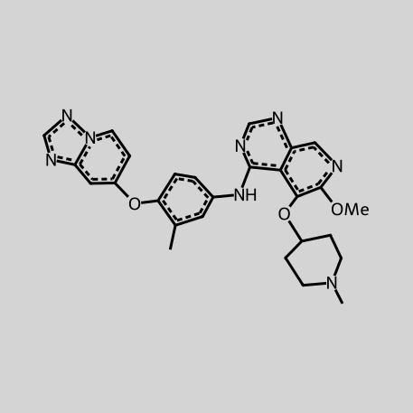 COc1ncc2ncnc(Nc3ccc(Oc4ccn5ncnc5c4)c(C)c3)c2c1OC1CCN(C)CC1